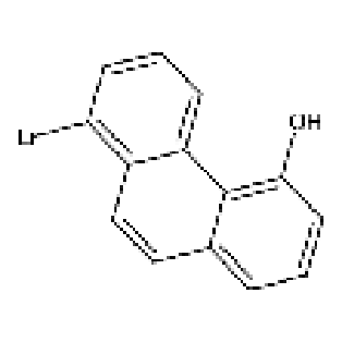 [Li][c]1cccc2c1ccc1cccc(O)c12